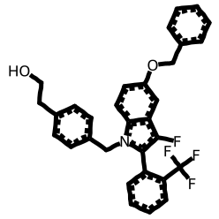 OCCc1ccc(Cn2c(-c3ccccc3C(F)(F)F)c(F)c3cc(OCc4ccccc4)ccc32)cc1